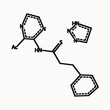 CC(=O)c1nccnc1NC(=S)CCc1ccccc1.c1c[nH]nn1